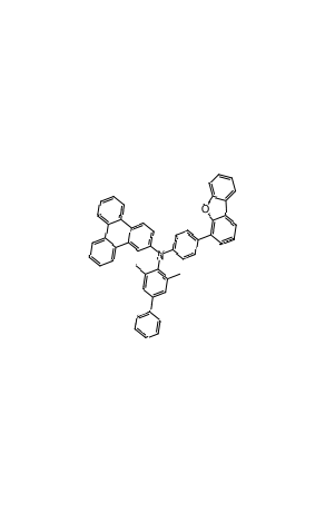 Cc1cc(-c2ccccc2)cc(C)c1N(c1ccc(-c2cccc3c2oc2ccccc23)cc1)c1ccc2c3ccccc3c3ccccc3c2c1